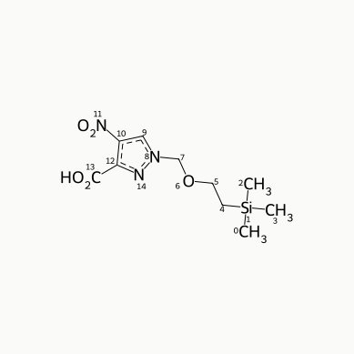 C[Si](C)(C)CCOCn1cc([N+](=O)[O-])c(C(=O)O)n1